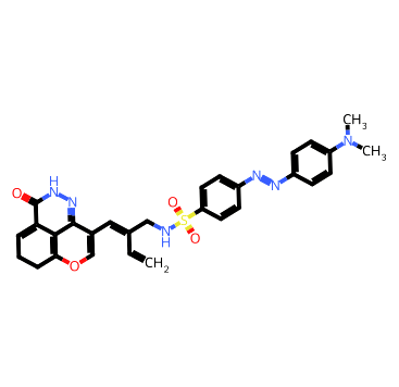 C=C/C(=C\C1=COC2=c3c1n[nH]c(=O)c3=CCC2)CNS(=O)(=O)c1ccc(/N=N/c2ccc(N(C)C)cc2)cc1